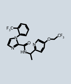 CC(NC(=O)c1nccn1-c1ccccc1C(F)(F)F)c1ccc(OCC(F)(F)F)cn1